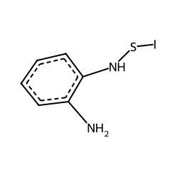 Nc1ccccc1NSI